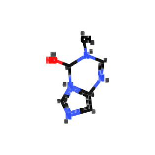 CN1C=Nc2cncn2C1O